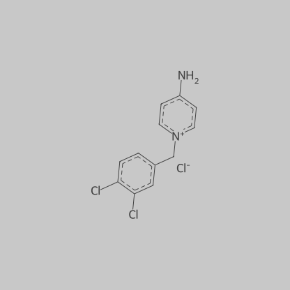 Nc1cc[n+](Cc2ccc(Cl)c(Cl)c2)cc1.[Cl-]